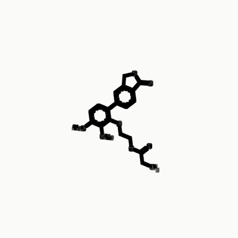 COc1ccc(-c2ccc3c(c2)COC3=O)c(OCCOC(=O)CC(F)(F)F)c1OC